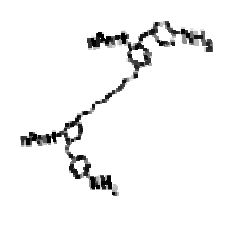 CCCCCc1cc(CCCCCCCCc2ccc(Cc3ccc(N)cc3)c(CCCCC)c2)ccc1Cc1ccc(N)cc1